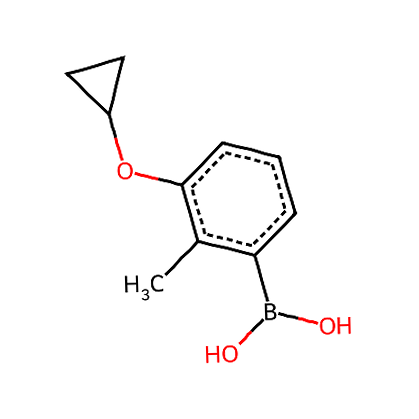 Cc1c(OC2CC2)cccc1B(O)O